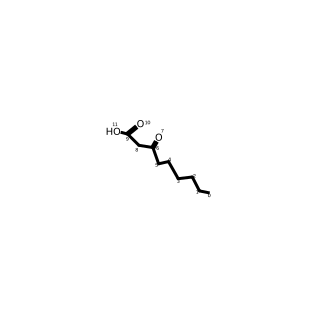 CCCCCCC(=O)CC(=O)O